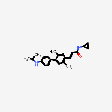 Cc1cc(-c2ccc(NC(C)C)cc2)c(C)cc1/C=C/C(=O)NC1CC1